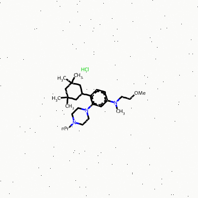 CCCN1CCN(c2cc(N(C)CCOC)ccc2C2CC(C)(C)CC(C)(C)C2)CC1.Cl